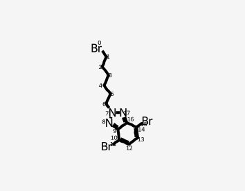 BrCCCCCCn1nc2c(Br)ccc(Br)c2n1